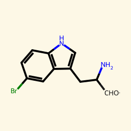 NC([C]=O)Cc1c[nH]c2ccc(Br)cc12